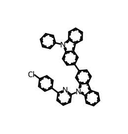 Clc1ccc(-c2cccc(-n3c4ccccc4c4ccc(-c5ccc6c(c5)c5ccccc5n6-c5ccccc5)cc43)n2)cc1